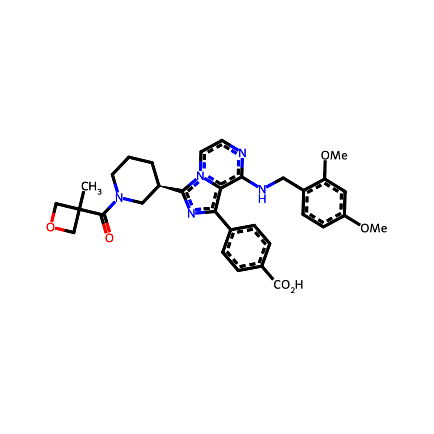 COc1ccc(CNc2nccn3c([C@@H]4CCCN(C(=O)C5(C)COC5)C4)nc(-c4ccc(C(=O)O)cc4)c23)c(OC)c1